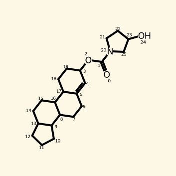 O=C(OC1C=C2CCC3C4CCCC4CCC3C2CC1)N1CCC(O)C1